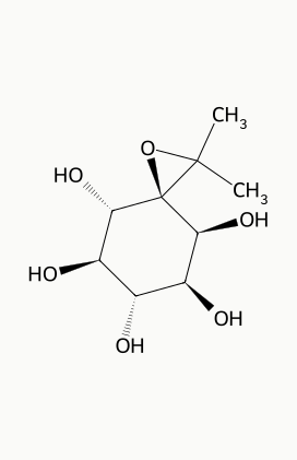 CC1(C)O[C@@]12[C@@H](O)[C@H](O)[C@@H](O)[C@H](O)[C@@H]2O